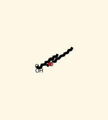 C=O.CCCCCCCCCCC(=O)O.CCCCCCCCCCC(=O)O